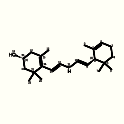 CC1=CCCC(C)(C)[C@H]1C=CPC=CC1=C(C)C[C@@H](O)CC1(C)C